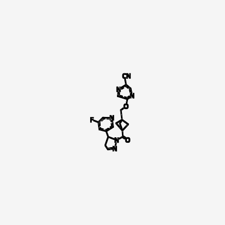 N#Cc1cnc(OCC23CC(C(=O)N4N=CCC4c4cncc(F)c4)(C2)C3)cn1